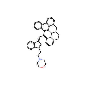 C1=CC2=C(/C=C3\C=C(CCN4CCOCC4)c4ccccc43)c3c4c5c(cccc5c5ccccc35)CC3CCC(=C1)C2C43